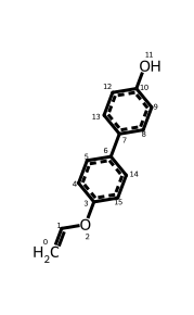 C=COc1ccc(-c2ccc(O)cc2)cc1